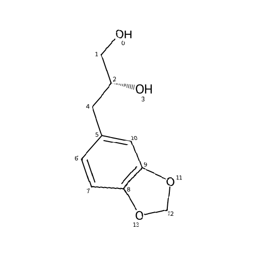 OC[C@H](O)Cc1ccc2c(c1)OCO2